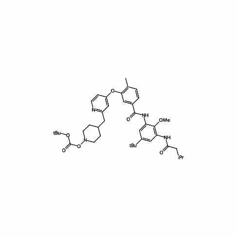 COc1c(NC(=O)CC(C)C)cc(C(C)(C)C)cc1NC(=O)c1ccc(C)c(Oc2ccnc(CC3CCN(OC(=O)OC(C)(C)C)CC3)c2)c1